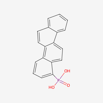 O=P(O)(O)c1cccc2c1ccc1c3ccccc3ccc21